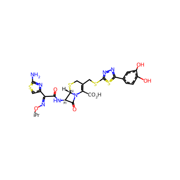 CC(C)ON=C(C(=O)N[C@@H]1C(=O)N2C(C(=O)O)=C(CSc3nnc(-c4ccc(O)c(O)c4)s3)CS[C@@H]12)c1csc(N)n1